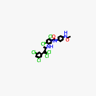 C=C(Nc1cc(C(=O)Nc2ccc(NC(C)=O)cc2)c(Cl)cc1Cl)C1C(c2cc(Cl)cc(Cl)c2)C1(Cl)Cl